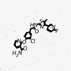 Cc1sc(NC(=O)Cc2ccc(Oc3ncccc3C(N)=O)c(Cl)c2)nc1-c1ccc(F)nc1